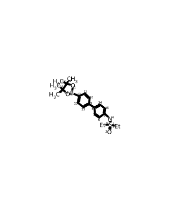 CCS(=O)(CC)=Nc1ccc(-c2ccc(B3OC(C)(C)C(C)(C)O3)cc2)cc1